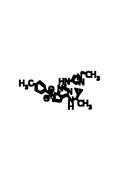 CCn1cc(Nc2nc(N[C@@H](C)C3CC3)c3ccn(S(=O)(=O)c4ccc(C)cc4)c3n2)cn1